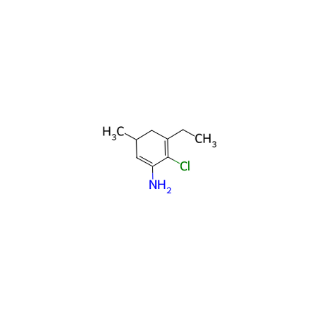 CCC1=C(Cl)C(N)=CC(C)C1